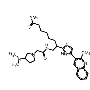 CNC(=O)CCCCCC(CNC(=O)CN1CCC(N(C)C)C1)c1ncc(-c2cc3ccccc3nc2OC)[nH]1